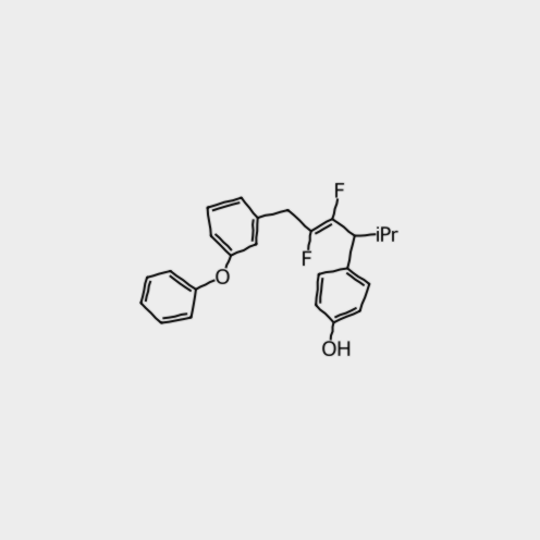 CC(C)C(/C(F)=C(\F)Cc1cccc(Oc2ccccc2)c1)c1ccc(O)cc1